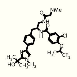 CNCC(=O)NCC(Cc1ccc(-c2cn(C)c(C(C)(C)O)n2)cc1)NC(=O)c1ccc(OC(C)C(F)(F)F)c(Cl)c1